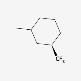 CC1CCC[C@@H](C(F)(F)F)C1